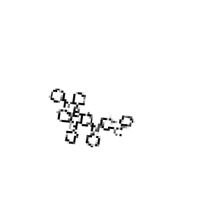 CC1C=C(N(c2ccccc2)c2ccc3c(c2)N(c2ccccc2)c2cccc4c2B3c2ccccc2N4c2ccccc2)C=C2Oc3ccccc3C21